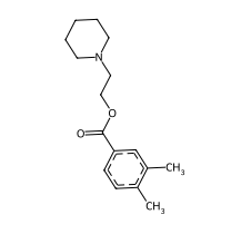 Cc1ccc(C(=O)OCCN2CCCCC2)cc1C